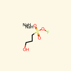 O=S(=O)(CCCO)OF.[NaH].[NaH]